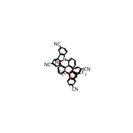 N#Cc1ccc2c(c1)-c1cc(C#N)ccc1C2c1cccc(C#N)c1-c1c(-c2c(C(F)(F)F)cccc2C(F)(F)F)cccc1-n1c2ccc(C#N)cc2c2cc(C#N)ccc21